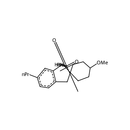 CCCc1ccc2c(c1)C1(NC(=O)NC1=O)C1(CCC(OC)CC1)C2